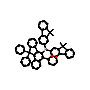 CC1(C)c2ccccc2-c2ccc(N(c3ccc4c(c3)C(C)(C)c3ccccc3-4)c3c4c(c5ccccc5c3-c3ccccc3)C(c3ccccc3)(c3ccccc3)c3ccccc3-4)cc21